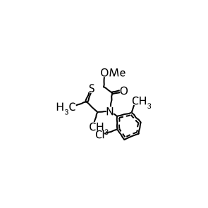 COCC(=O)N(c1c(C)cccc1Cl)C(C)C(C)=S